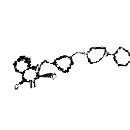 O=c1[nH]c(=O)n(Cc2cccc(CN3CCN(C4CCCCC4)CC3)c2)c2ccccc12